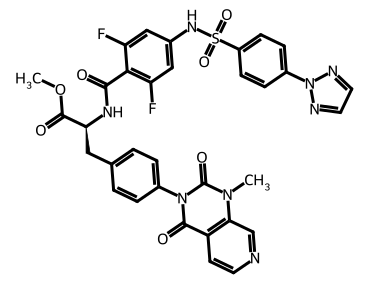 COC(=O)[C@H](Cc1ccc(-n2c(=O)c3ccncc3n(C)c2=O)cc1)NC(=O)c1c(F)cc(NS(=O)(=O)c2ccc(-n3nccn3)cc2)cc1F